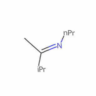 CCC/N=C(\C)C(C)C